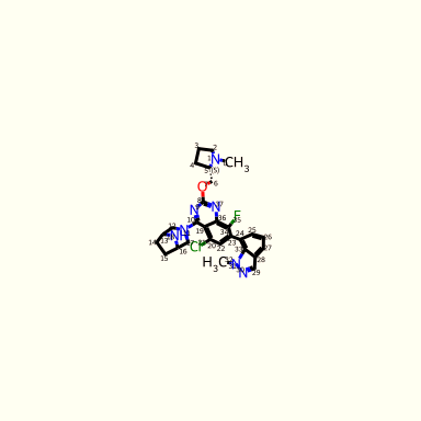 CN1CCC[C@H]1COc1nc(N2CC3CCC(C2)N3)c2c(Cl)cc(-c3cccc4cnn(C)c34)c(F)c2n1